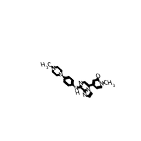 CN1CCN(c2ccc(Nc3ncc(-c4ccn(C)c(=O)c4)n4ccnc34)cc2)CC1